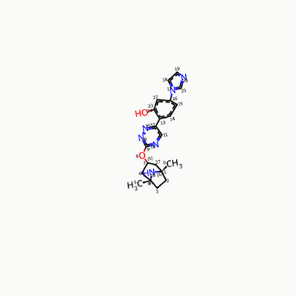 C[C@]12CC[C@](C)(C[C@@H](Oc3ncc(-c4ccc(-n5ccnc5)cc4O)nn3)C1)N2